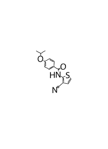 CC(C)Oc1ccc(C(=O)Nc2sccc2C#N)cc1